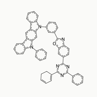 C1=CCCC(c2nc(-c3ccccc3)nc(-c3ccc4nc(-c5cccc(-n6c7ccccc7c7cc8c9ccccc9n(-c9ccccc9)c8cc76)c5)oc4c3)n2)=C1